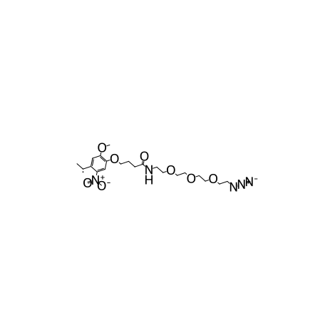 C[CH]c1cc(OC)c(OCCCC(=O)NCCOCCOCCOCCN=[N+]=[N-])cc1[N+](=O)[O-]